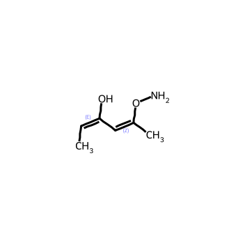 C/C=C(O)\C=C(\C)ON